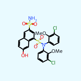 COc1c(Cl)cccc1N(c1cccc(Cl)c1OC)S(=O)(=O)c1cc(S(N)(=O)=O)cc2ccc(O)cc12